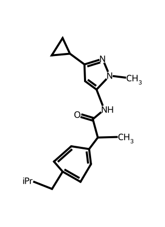 CC(C)Cc1ccc(C(C)C(=O)Nc2cc(C3CC3)nn2C)cc1